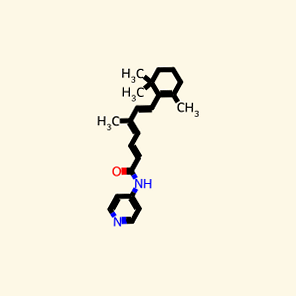 CC(C=CC1=C(C)CCCC1(C)C)=CC=CC(=O)Nc1ccncc1